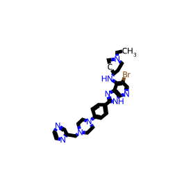 CCN1CCC(Nc2c(Br)cnc3[nH]c(-c4ccc(N5CCN(Cc6cnccn6)CC5)cc4)nc23)CC1